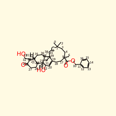 CC1(C)CC[C@](C)(C(=O)OCc2ccccc2)CCC2=CC(O)[C@@H]3[C@@]4(C)CCC(=O)[C@@](C)(CO)[C@@H]4CC[C@@]3(C)[C@]2(C)CC1